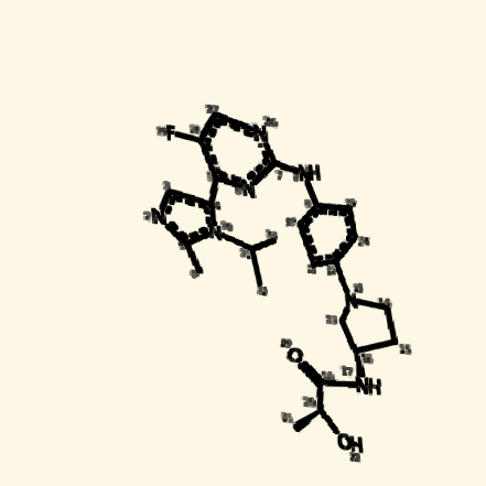 Cc1ncc(-c2nc(Nc3ccc(N4CC[C@@H](NC(=O)[C@H](C)O)C4)cc3)ncc2F)n1C(C)C